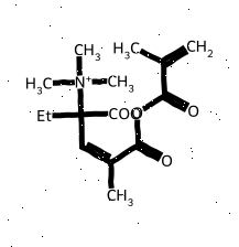 C=C(C)C(=O)OC(=O)C(C)=CC(CC)(C(=O)[O-])[N+](C)(C)C